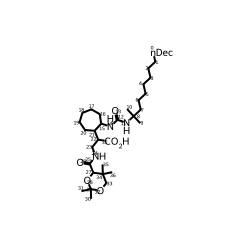 CCCCCCCCCCCCCCCCCC(C)(C)NC(=O)NC1CCCCCC1C(CNC(=O)C1OC(C)(C)OCC1(C)C)C(=O)O